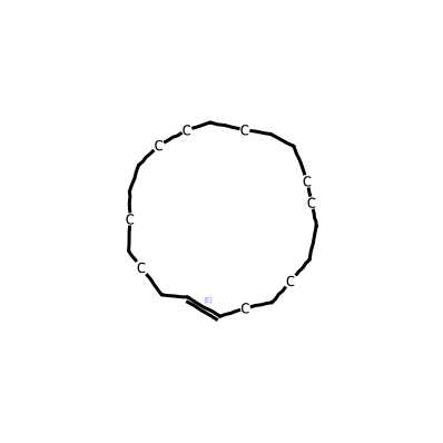 C1=C/CCCCCCCCCCCCCCCCCCC/1